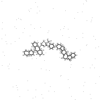 CC1(C)C2=C(C=C(c3c4ccccc4c(-c4ccc5ccccc5c4)c4ccccc34)CC2)c2ccc(-c3ccc4sc5cc6c(ccc7oc8ccccc8c76)cc5c4c3)cc21